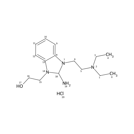 CCN(CC)CCN1c2ccccc2N(CCO)C1N.Cl